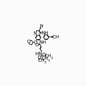 C#Cc1cccc(Nc2c(C#N)cnc3cc(O[C@H]4CCOC4)c(NC(=O)C=CCNC(C)(OC)OC)cc23)c1